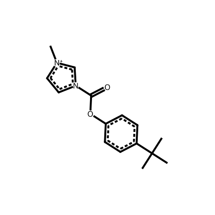 C[n+]1ccn(C(=O)Oc2ccc(C(C)(C)C)cc2)c1